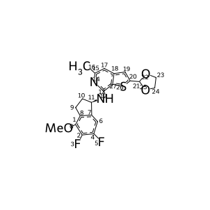 COc1c(F)c(F)cc2c1CC[C@H]2Nc1nc(C)cc2cc(C3OCCO3)sc12